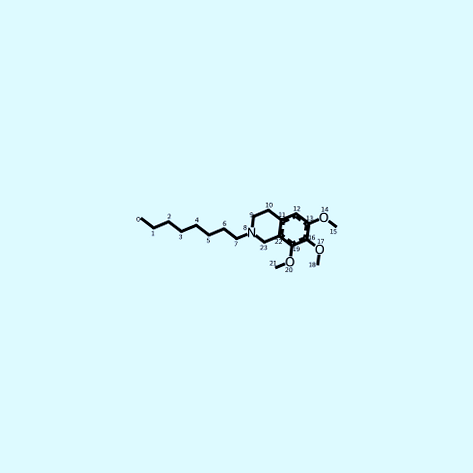 CCCCCCCCN1CCc2cc(OC)c(OC)c(OC)c2C1